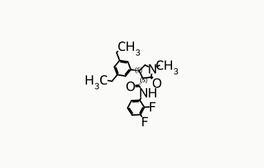 CCc1cc(CC)cc([C@H]2CN(C)C(=O)[C@@H]2C(=O)Nc2cccc(F)c2F)c1